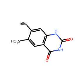 CCCCc1cc2[nH]c(=O)[nH]c(=O)c2cc1S(=O)(=O)O